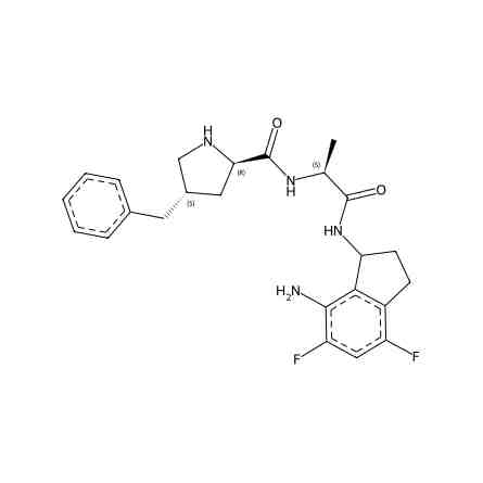 C[C@H](NC(=O)[C@H]1C[C@H](Cc2ccccc2)CN1)C(=O)NC1CCc2c(F)cc(F)c(N)c21